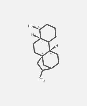 PC1C[C@@]23CC[C@H]4C(CCC[C@@H]4S)[C@@H]2CCC1C3